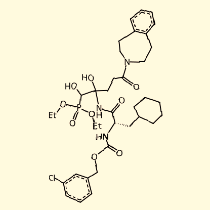 CCOP(=O)(OCC)C(O)C(O)(CCC(=O)N1CCc2ccccc2CC1)NC(=O)[C@H](CC1CCCCC1)NC(=O)OCc1cccc(Cl)c1